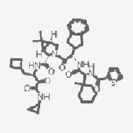 CC1([C@H](NC(=O)c2cccs2)C(=O)N[C@H](C(=O)N2C[C@H]3[C@@H]([C@H]2C(=O)NC(CC2CCC2)C(=O)C(=O)NC2CC2)C3(C)C)C2Cc3ccccc3C2)CCCCC1